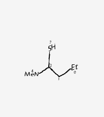 CCCC(S)NC